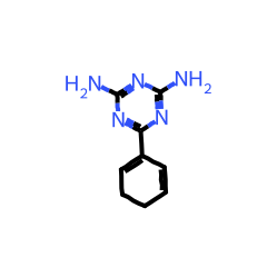 Nc1nc(N)nc(C2=CCCC=C2)n1